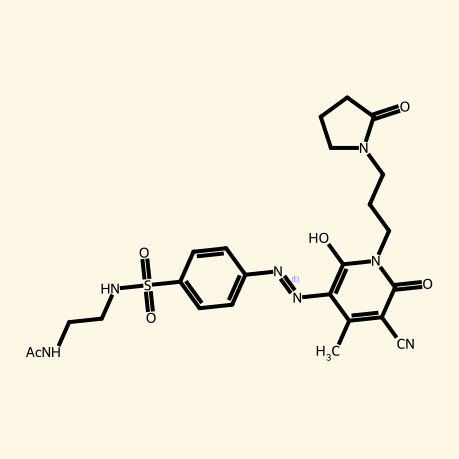 CC(=O)NCCNS(=O)(=O)c1ccc(/N=N/c2c(C)c(C#N)c(=O)n(CCCN3CCCC3=O)c2O)cc1